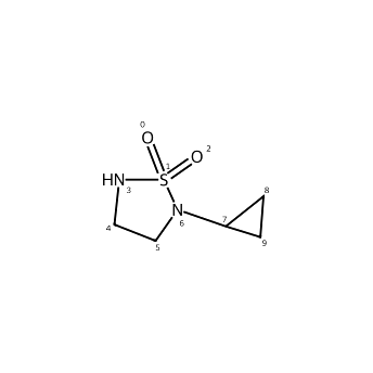 O=S1(=O)NCCN1C1CC1